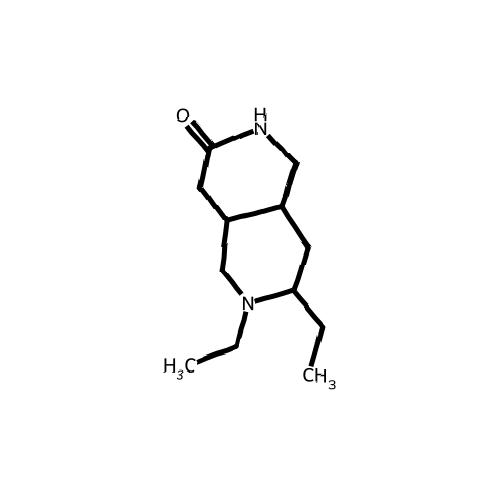 CCC1CC2CNC(=O)CC2CN1CC